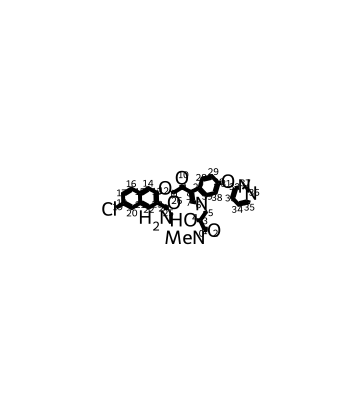 CNC(=O)C(O)Cn1cc(C(=O)COc2cc3ccc(Cl)cc3cc2C(N)=O)c2ccc(Oc3cccnn3)cc21